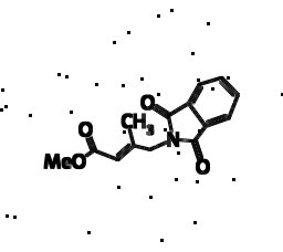 COC(=O)/C=C(\C)CN1C(=O)c2ccccc2C1=O